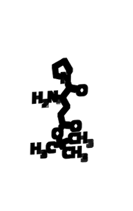 CC(C)(C)OC(=O)CC[C@@H](N)C(=O)N1CCCC1